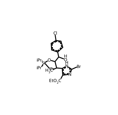 CCOC(=O)c1nc(Br)[nH]c1C(C)C(O[Si](C(C)C)(C(C)C)C(C)C)C(O)c1ccc(Cl)cc1